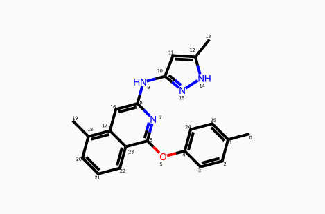 Cc1ccc(Oc2nc(Nc3cc(C)[nH]n3)cc3c(C)cccc23)cc1